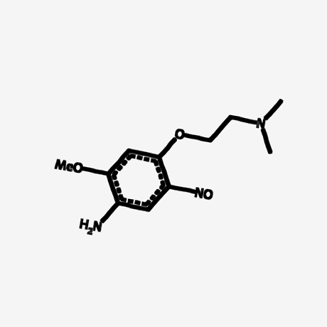 COc1cc(OCCN(C)C)c(N=O)cc1N